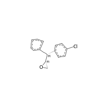 Clc1ccc([C@@H](c2ccccc2)[C@@H]2CO2)cc1